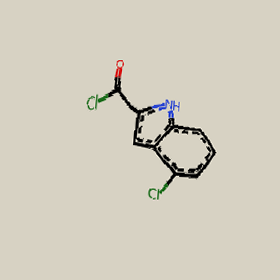 O=C(Cl)c1cc2c(Cl)cccc2[nH]1